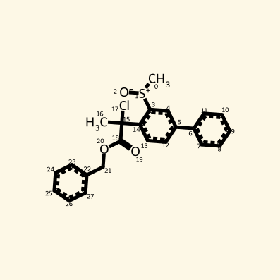 C[S+]([O-])c1cc(-c2ccccc2)ccc1C(C)(Cl)C(=O)OCc1ccccc1